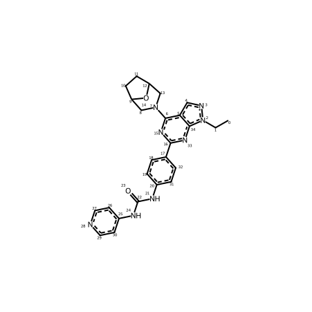 CCn1ncc2c(N3CC4CCC(C3)O4)nc(-c3ccc(NC(=O)Nc4ccncc4)cc3)nc21